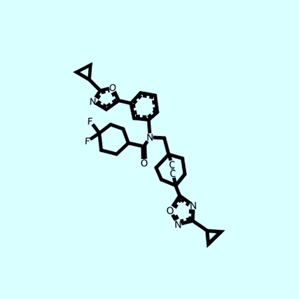 O=C(C1CCC(F)(F)CC1)N(CC12CCC(c3nc(C4CC4)no3)(CC1)CC2)c1cccc(-c2cnc(C3CC3)o2)c1